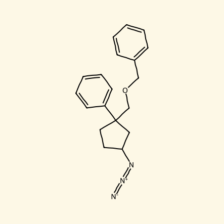 [N-]=[N+]=NC1CCC(COCc2ccccc2)(c2ccccc2)C1